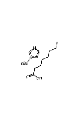 CCCCCCCC(=O)O.CCCCn1ccnc1